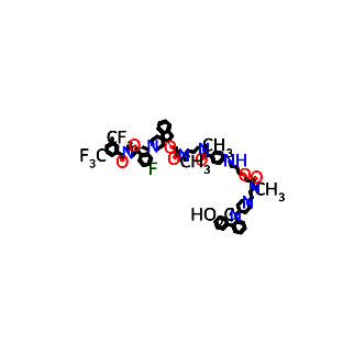 CN(CCN1CCC(N(C(=O)O)c2ccccc2-c2ccccc2)CC1)C(=O)COCCCNc1ccc(C(=O)N(C)CCCN(C)C(=O)CO[C@H]2Cc3ccccc3C23CCN(CC[C@]2(c4ccc(F)cc4)CN(C(=O)c4cc(C(F)(F)F)cc(C(F)(F)F)c4)CO2)CC3)cc1